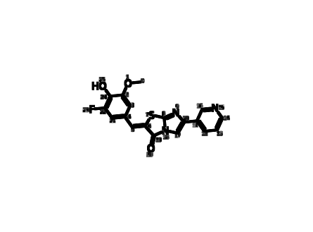 COc1cc(/C=c2\sc3nc(-c4cccnc4)cn3c2=O)cc(F)c1O